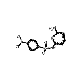 Nc1cccc(NS(=O)(=O)c2ccc(N(Cl)Cl)cc2)n1